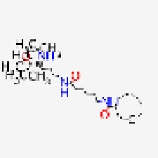 CC(C)(C)N[C@@H](CCCCNC(=O)CCCCCNC(=O)C1CCCCCCCCCC1)C(=O)C(C)(C)C